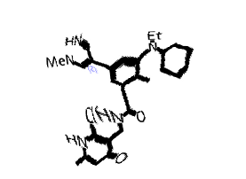 CCN(c1cc(/C(C=N)=C/NC)cc(C(=O)NCc2c(Cl)[nH]c(C)cc2=O)c1C)C1CCCCC1